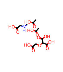 CC(=O)O.CC(=O)O.CNCC(=O)O.O=C(O)COC(C(=O)O)C(=O)O